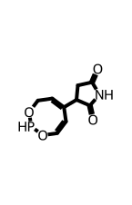 O=C1CC(C2=CCOPOC=C2)C(=O)N1